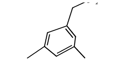 CCOC(=O)Cc1cc(C)cc(C)c1